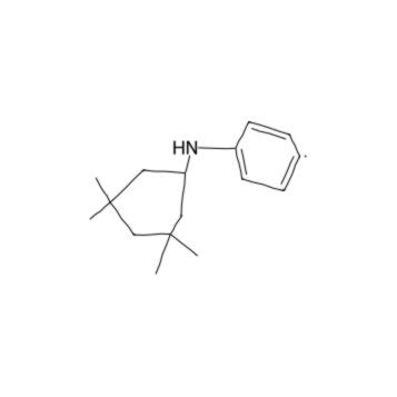 CC1(C)CC(Nc2cc[c]cc2)CC(C)(C)C1